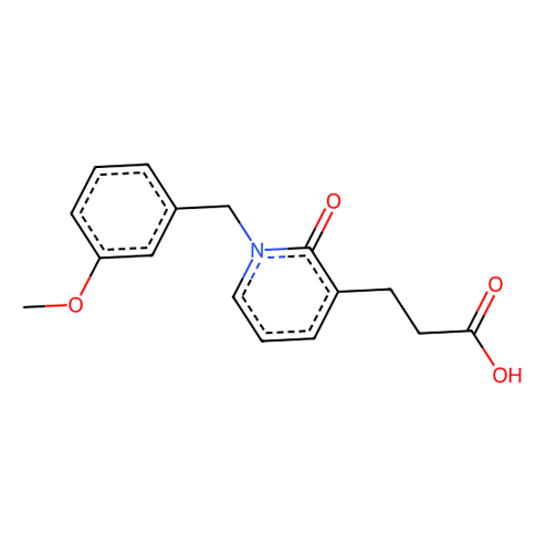 COc1cccc(Cn2cccc(CCC(=O)O)c2=O)c1